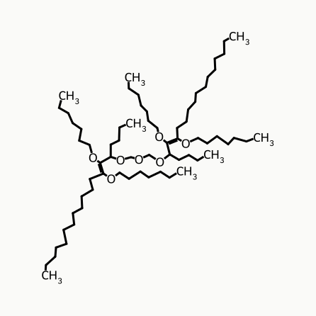 CCCCCCCCCCCCC(OCCCCCCC)=C(OCCCCCCC)C(CCCC)OCOCOC(CCCC)C(OCCCCCCC)=C(CCCCCCCCCCCC)OCCCCCCC